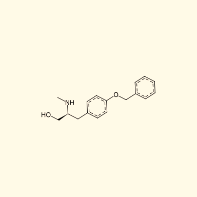 CN[C@H](CO)Cc1ccc(OCc2ccccc2)cc1